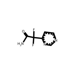 NC(=O)C(F)(F)c1ccncn1